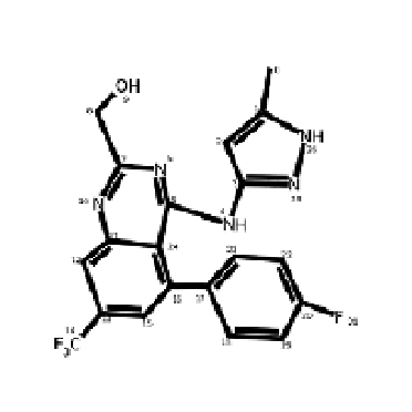 Cc1cc(Nc2nc(CO)nc3cc(C(F)(F)F)cc(-c4ccc(F)cc4)c23)n[nH]1